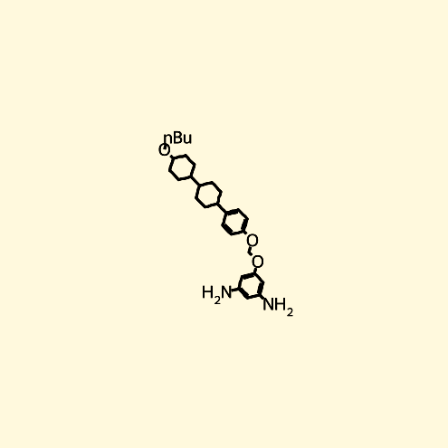 CCCCOC1CCC(C2CCC(c3ccc(OCOc4cc(N)cc(N)c4)cc3)CC2)CC1